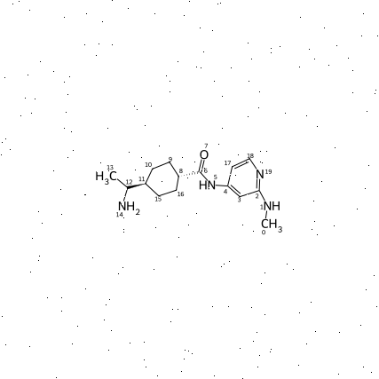 CNc1cc(NC(=O)[C@H]2CC[C@H](C(C)N)CC2)ccn1